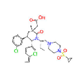 C=C(/C=C\C(Cl)=C/C)[C@@H]1[C@@H](c2cccc(Cl)c2)C[C@](C)(CC(=O)O)C(=O)N1[C@@H](CC)CN1CCN(S(=O)(=O)C2CC2)CC1